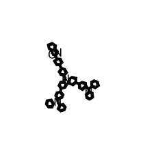 c1ccc(N(c2ccccc2)c2ccc(-c3ccc4c(c3)c3cc(-c5ccc(N(c6ccccc6)c6ccccc6)cc5)ccc3n4-c3ccc(-c4ccc(-c5nc6ccccc6o5)cc4)cc3)cc2)cc1